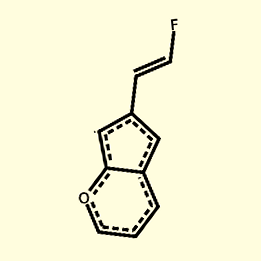 FC=Cc1[c]c2occcc-2c1